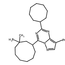 BC1(C)CCCCCCC(c2nc(C3CCCCCCC3)nc3c(C(C)C)cnn23)C1